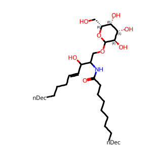 CCCCCCCCCCCCCC=CC(O)C(COC1O[C@H](CO)[C@H](O)[C@H](O)[C@H]1O)NC(=O)CCCCCCCCCCCCCCCCC